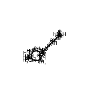 CO[C@H]1/C=C\C=C(/C)C(=O)NC2=CC(=O)C(NCCOCCOCCNC(=O)CCCC[C@@H]3SC[C@@H]4NC(=O)N[C@@H]43)=C(C[C@@H](C)C[C@H](OC)[C@H](O)[C@@H](C)/C=C(\C)[C@@H]1OC(N)=O)C2=O